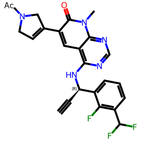 C#C[C@@H](Nc1ncnc2c1cc(C1=CCN(C(C)=O)C1)c(=O)n2C)c1cccc(C(F)F)c1F